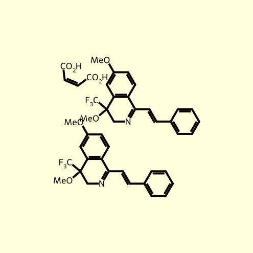 COc1ccc2c(c1)C(OC)(C(F)(F)F)CN=C2/C=C/c1ccccc1.COc1ccc2c(c1)C(OC)(C(F)(F)F)CN=C2/C=C/c1ccccc1.O=C(O)/C=C\C(=O)O